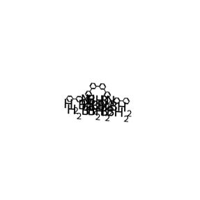 Bc1c(B)c(B)c(N(c2ccc(-c3cccc(-c4cccc(-c5ccc(N(c6ccc(C7C=CC=CC7)cc6)c6c(B)c(B)c(B)c(B)c6B)cc5)c4)c3)cc2)c2ccc(C3C=CC=CC3)cc2)c(B)c1B